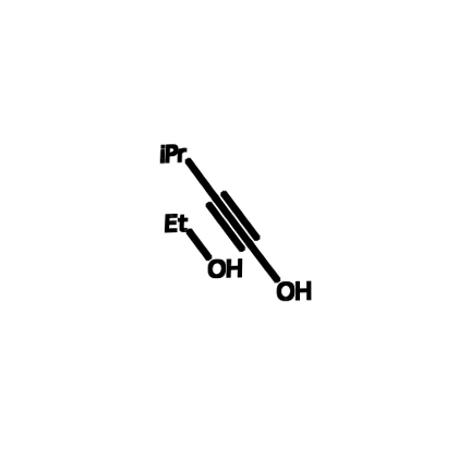 CC(C)C#CO.CCO